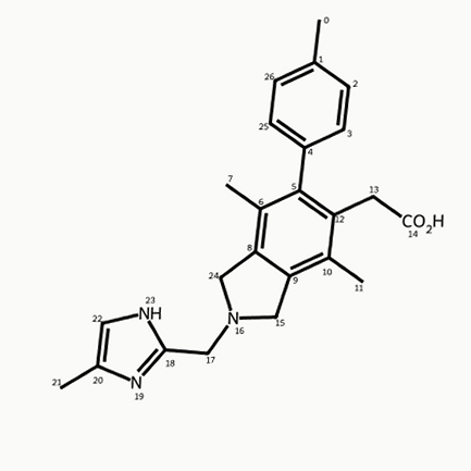 Cc1ccc(-c2c(C)c3c(c(C)c2CC(=O)O)CN(Cc2nc(C)c[nH]2)C3)cc1